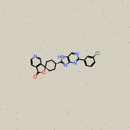 O=C1O[C@]2(CC[C@H](c3nc4nc(-c5cccc(Cl)c5)ncc4[nH]3)CC2)c2cnccc21